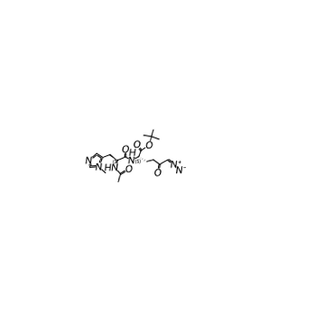 CC(=O)N[C@@H](Cc1cncn1C)C(=O)N[C@@H](CCC(=O)C=[N+]=[N-])C(=O)OC(C)(C)C